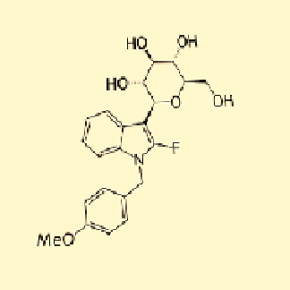 COc1ccc(Cn2c(F)c([C@@H]3O[C@H](CO)[C@@H](O)[C@H](O)[C@H]3O)c3ccccc32)cc1